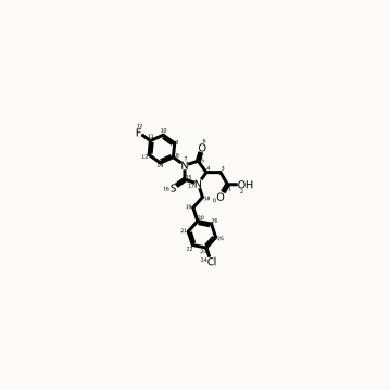 O=C(O)CC1C(=O)N(c2ccc(F)cc2)C(=S)N1CCc1ccc(Cl)cc1